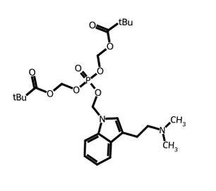 CN(C)CCc1cn(COP(=O)(OCOC(=O)C(C)(C)C)OCOC(=O)C(C)(C)C)c2ccccc12